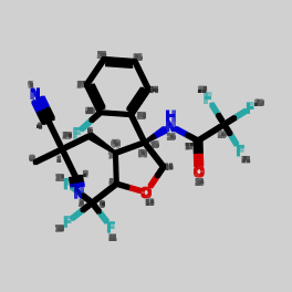 CC(C#N)(C#N)C[C@@H]1C(C(F)(F)F)OC[C@@]1(NC(=O)C(F)(F)F)c1ccccc1F